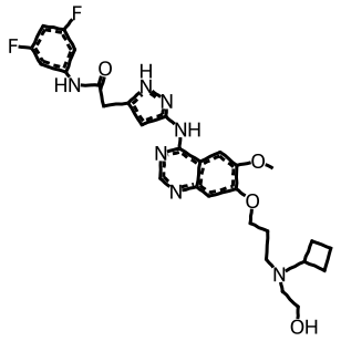 COc1cc2c(Nc3cc(CC(=O)Nc4cc(F)cc(F)c4)[nH]n3)ncnc2cc1OCCCN(CCO)C1CCC1